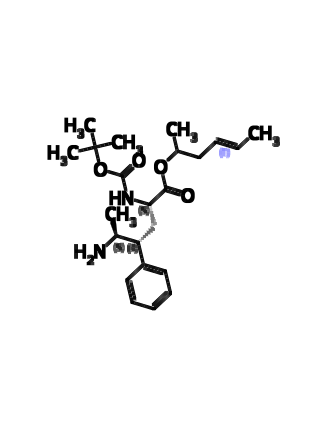 C/C=C/CC(C)OC(=O)[C@H](C[C@H](c1ccccc1)[C@H](C)N)NC(=O)OC(C)(C)C